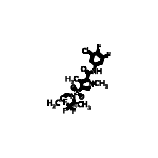 C=C=CN([C@H](C)C(F)(F)F)S(=O)(=O)c1cn(C)c(C(=O)Nc2cc(F)c(F)c(Cl)c2)c1C